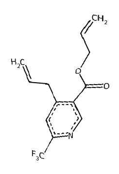 C=CCOC(=O)c1cnc(C(F)(F)F)cc1CC=C